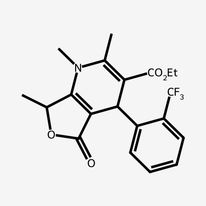 CCOC(=O)C1=C(C)N(C)C2=C(C(=O)OC2C)C1c1ccccc1C(F)(F)F